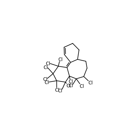 ClC1CCC2CCC=C/C2=C2\C(Cl)(Cl)C(Cl)(Cl)C(Cl)(Cl)C(Cl)(Cl)C2(Cl)C1(Cl)Cl